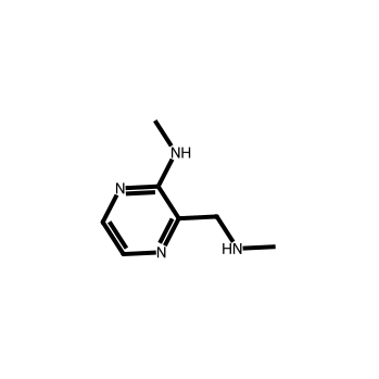 CNCc1nccnc1NC